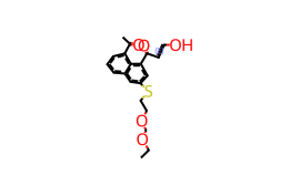 CCOCOCCSc1cc(C(=O)/C=C/O)c2c(C(C)=O)cccc2c1